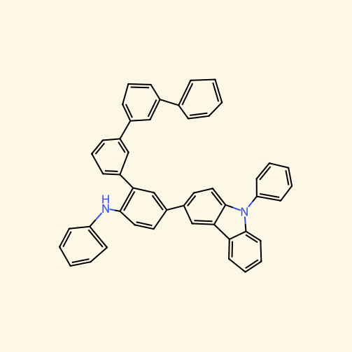 c1ccc(Nc2ccc(-c3ccc4c(c3)c3ccccc3n4-c3ccccc3)cc2-c2cccc(-c3cccc(-c4ccccc4)c3)c2)cc1